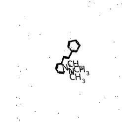 CN(C)[N+]1(C)C=CC=CC1C=Cc1ccccc1